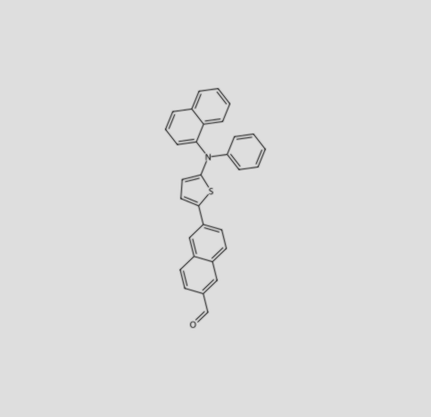 O=Cc1ccc2cc(-c3ccc(N(c4ccccc4)c4cccc5ccccc45)s3)ccc2c1